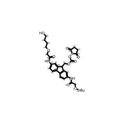 CCCCOCC(=O)Nc1ccc2c(c1)C(COC(=O)ON1C(=O)CCC1=O)c1cc(NC(=O)COCCCCO)ccc1-2